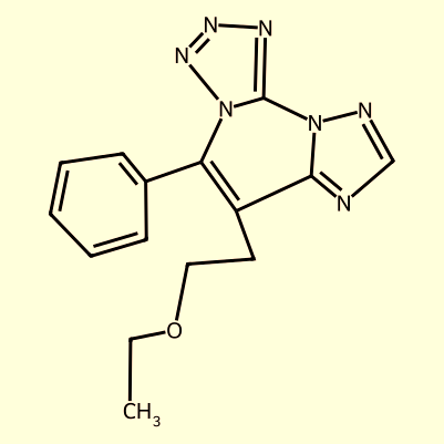 CCOCCc1c(-c2ccccc2)n2nnnc2n2ncnc12